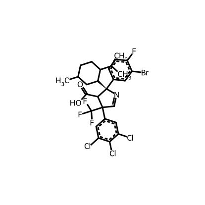 CC1CCC(C(C)C)C([C@@]2(c3ccc(F)c(Br)c3)N=CC(c3cc(Cl)c(Cl)c(Cl)c3)(C(F)(F)F)C2C(=O)O)C1